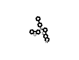 c1ccc(-c2ccc(N(c3ccc4oc5ccccc5c4c3)c3cccc4c3sc3cc5cnccc5cc34)cc2)cc1